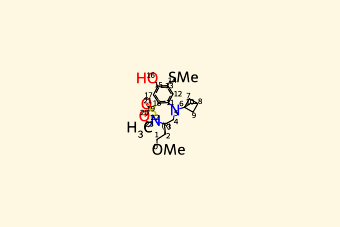 COCC[C@@H]1CN(C23CC(C2)C3)c2cc(SC)c(O)cc2S(=O)(=O)N1C